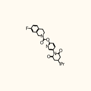 CC(C)C1CC(=O)N(c2ccc(OC(=O)N3CCc4ccc(F)cc4C3)nc2)C(=O)C1